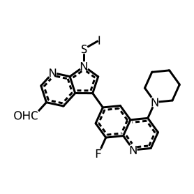 O=Cc1cnc2c(c1)c(-c1cc(F)c3nccc(N4CCCCC4)c3c1)cn2SI